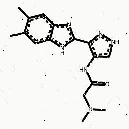 Cc1cc2nc(-c3n[nH]cc3NC(=O)CN(C)C)[nH]c2cc1C